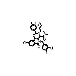 Cc1ccc(C(=O)N(CCCN)C(C(=O)N(C)C)c2nc3cc(Cl)ccc3c(=O)n2Cc2ccc(Cl)c(Cl)c2)cc1